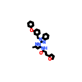 Cc1cc(NC(=O)/C=C/c2ccco2)n(-c2nc3ccccc3n2Cc2cccc(Oc3ccccc3)c2)n1